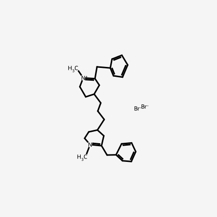 C[N+]1=C(Cc2ccccc2)CC(CCCC2CC[N+](C)=C(Cc3ccccc3)C2)CC1.[Br-].[Br-]